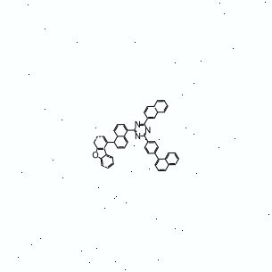 C1=CC2C=CC(c3nc(C4=CC=CC5C4=CC=CC5C4=CCCc5oc6ccccc6c54)nc(-c4ccc(-c5cccc6ccccc56)cc4)n3)=CC2C=C1